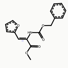 COC(=O)/C(=C/c1ccco1)NC(=O)OCc1ccccc1